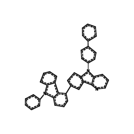 c1ccc(-c2ccc(-n3c4ccc(-c5cccc6c5c5ccccc5n6-c5ccccc5)cc4c4ncccc43)cc2)cc1